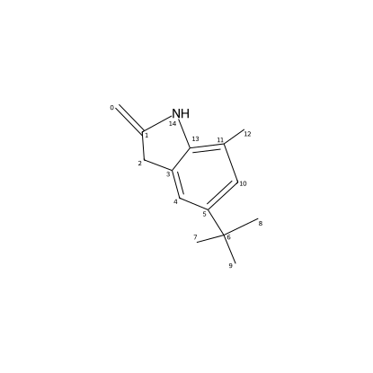 C=C1Cc2cc(C(C)(C)C)cc(C)c2N1